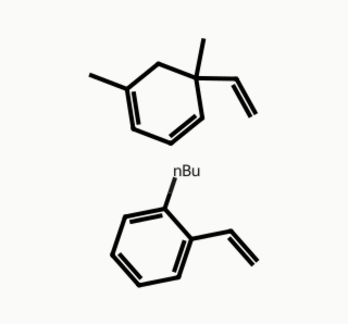 C=CC1(C)C=CC=C(C)C1.C=Cc1ccccc1CCCC